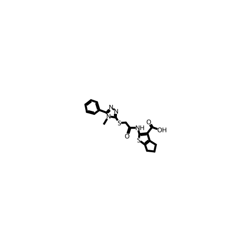 Cn1c(SCC(=O)Nc2sc3c(c2C(=O)O)CCC3)nnc1-c1ccccc1